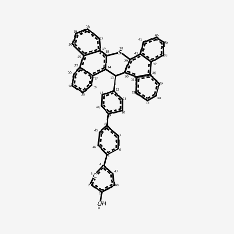 Oc1ccc(-c2ccc(-c3ccc(C4c5c(c6ccccc6c6ccccc56)Sc5c4c4ccccc4c4ccccc54)cc3)cc2)cc1